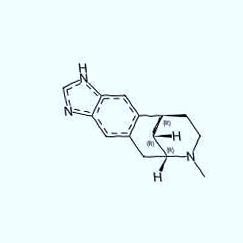 CN1CC[C@]23CCCC[C@H]2[C@H]1Cc1cc2nc[nH]c2cc13